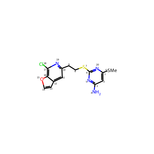 CSc1cc(N)nc(SCCc2cc3ccoc3c(Cl)n2)n1